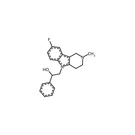 CN1CCc2c(c3cc(F)ccc3n2CC(O)c2ccccc2)C1